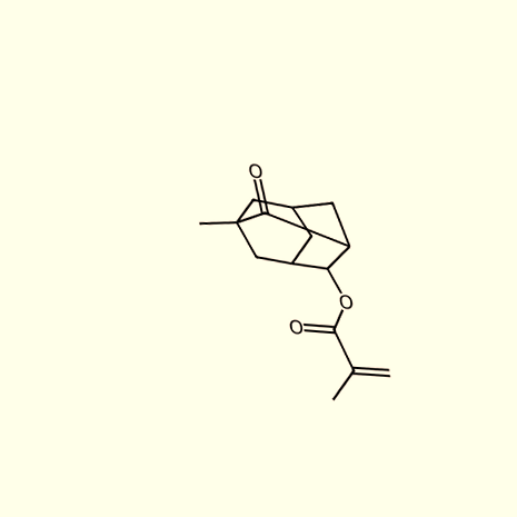 C=C(C)C(=O)OC1C2CC3CC1C(=O)C(C)(C3)C2